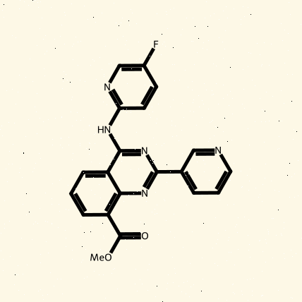 COC(=O)c1cccc2c(Nc3ccc(F)cn3)nc(-c3cccnc3)nc12